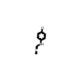 C=C=CNc1ccc(Cl)cc1